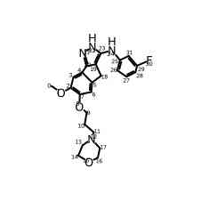 COc1cc2c(cc1OCCCN1CCOCC1)Cc1c-2n[nH]c1Nc1cccc(F)c1